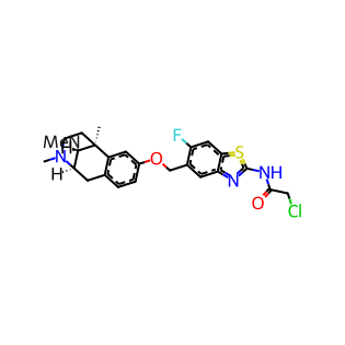 CN[C@H]1[C@H]2Cc3ccc(OCc4cc5nc(NC(=O)CCl)sc5cc4F)cc3[C@]1(C)CCN2C